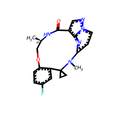 C[C@@H]1COc2ccc(F)cc2C2(CC2)N(C)c2ccn3ncc(c3n2)C(=O)N1